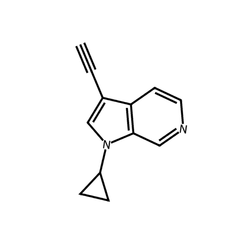 C#Cc1cn(C2CC2)c2cnccc12